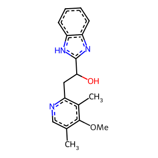 COc1c(C)cnc(CC(O)c2nc3ccccc3[nH]2)c1C